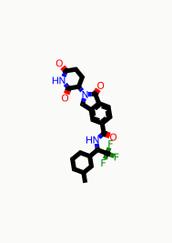 CC1CCCC(C(NC(=O)c2ccc3c(c2)CN(C2CCC(=O)NC2=O)C3=O)C(F)(F)F)C1